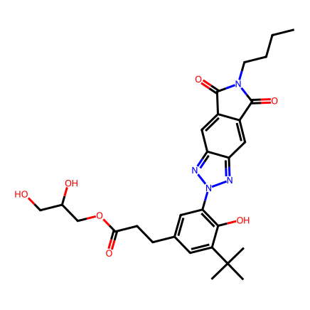 CCCCN1C(=O)c2cc3nn(-c4cc(CCC(=O)OCC(O)CO)cc(C(C)(C)C)c4O)nc3cc2C1=O